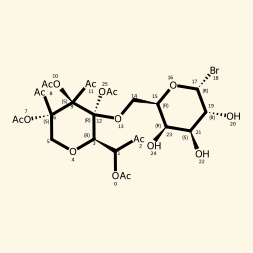 CC(=O)OC(C(C)=O)[C@H]1OC[C@@](OC(C)=O)(C(C)=O)[C@](OC(C)=O)(C(C)=O)[C@]1(OC[C@H]1O[C@H](Br)[C@H](O)[C@@H](O)[C@H]1O)OC(C)=O